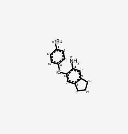 CC(C)(C)c1ccc(Sc2cc3c(cc2N)CCC3)cc1